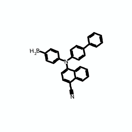 Bc1ccc(N(c2ccc(-c3ccccc3)cc2)c2ccc(C#N)c3ccccc23)cc1